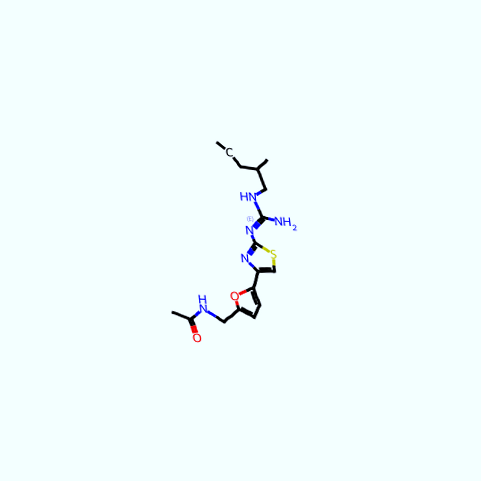 CCCC(C)CN/C(N)=N/c1nc(-c2ccc(CNC(C)=O)o2)cs1